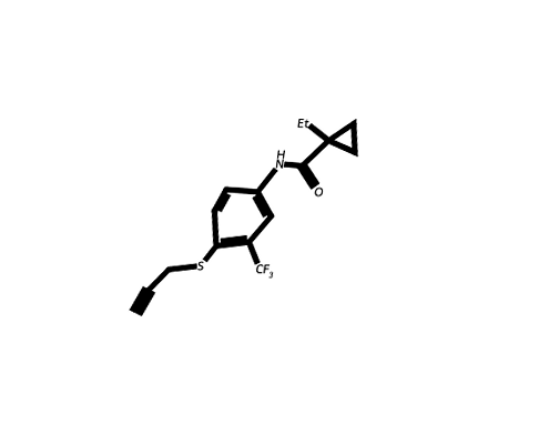 C#CCSc1ccc(NC(=O)C2(CC)CC2)cc1C(F)(F)F